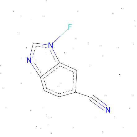 N#Cc1ccc2ncn(F)c2c1